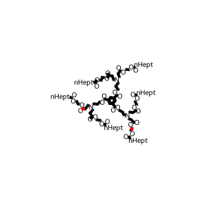 CCCCCCCC(=O)OCCOC(=O)CCN(CCCOC(=O)c1cc(C(=O)OCCCN(CCC(=O)OCCOC(=O)CCCCCCC)CCC(=O)OCCOC(=O)CCCCCCC)cc(C(=O)OCCCN(CCC(=O)OCCOC(=O)CCCCCCC)CCC(=O)OCCOC(=O)CCCCCCC)c1)CCC(=O)OCCOC(=O)CCCCCCC